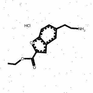 CCOC(=O)c1cc2cc(CCN)ccc2o1.Cl